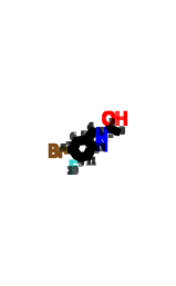 CC(O)n1cc2cc(Br)c(F)cc2n1